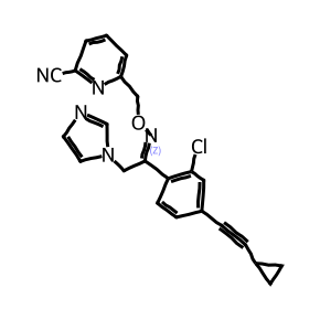 N#Cc1cccc(CO/N=C(\Cn2ccnc2)c2ccc(C#CC3CC3)cc2Cl)n1